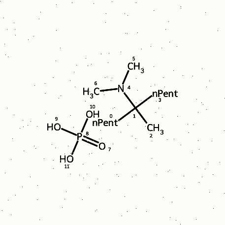 CCCCCC(C)(CCCCC)N(C)C.O=P(O)(O)O